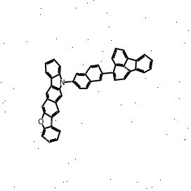 c1ccc2c(c1)-c1cccc3c(-c4ccc5cc(-n6c7ccccc7c7cc8cc9oc%10ccccc%10c9cc8cc76)ccc5c4)ccc-2c13